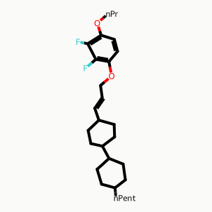 CCCCCC1CCC(C2CCC(/C=C/COc3ccc(OCCC)c(F)c3F)CC2)CC1